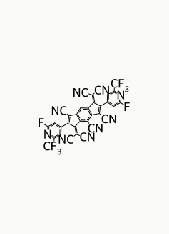 N#CC(C#N)=C1C(c2cc(F)nc(C(F)(F)F)c2)=C(C#N)c2c1cc1c(c2C#N)C(=C(C#N)C#N)C(c2cc(F)nc(C(F)(F)F)c2)=C1C#N